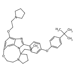 CCCC12CCCN1CCOc1cc(OCCN3CCCC3)c3nc(-c4ccc(Oc5ccc(C(C)(C)C)cc5)cc4)n2c3c1